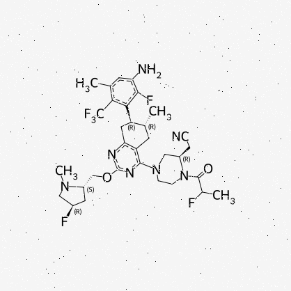 Cc1cc(N)c(F)c([C@@H]2Cc3nc(OC[C@@H]4C[C@@H](F)CN4C)nc(N4CCN(C(=O)C(C)F)[C@H](CC#N)C4)c3C[C@H]2C)c1C(F)(F)F